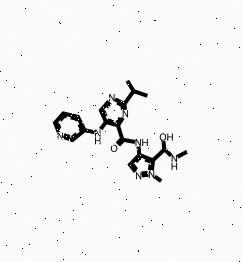 CNC(O)c1c(NC(=O)c2nc(C(C)C)ncc2Nc2cccnc2)cnn1C